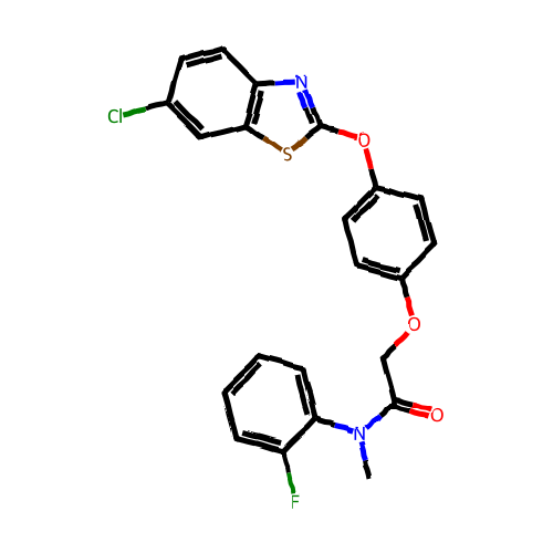 CN(C(=O)COc1ccc(Oc2nc3ccc(Cl)cc3s2)cc1)c1ccccc1F